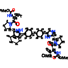 COC(=O)N[C@H](C(=O)N1CCC[C@H]1c1[nH]c(-c2ccc(-c3ccc(-c4cnc([C@@H]5CCCN5C(=O)[C@@H](NC(=O)OC)[C@@H](C)OC)[nH]4)cc3)cc2)c2c1CCCC2)C(C)C